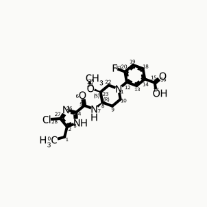 CCc1[nH]c(C(=O)N[C@@H]2CCN(c3cc(C(=O)O)ccc3F)C[C@@H]2OC)nc1Cl